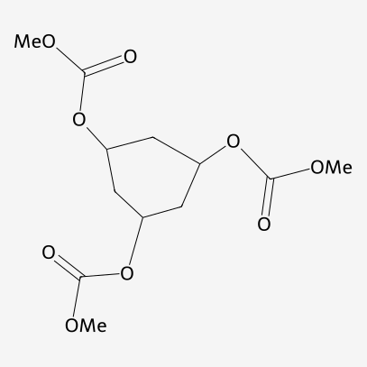 COC(=O)OC1CC(OC(=O)OC)CC(OC(=O)OC)C1